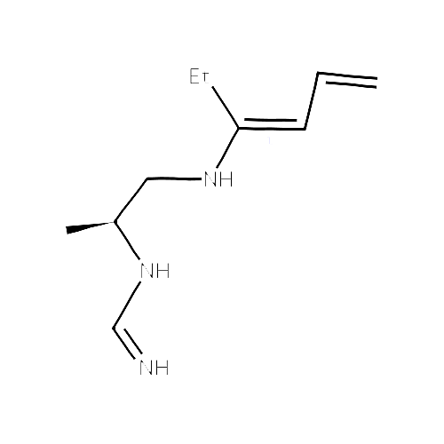 C=C/C=C(\CC)NC[C@H](C)NC=N